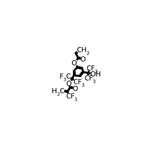 C=CC(=O)Oc1cc(C(O)(C(F)(F)F)C(F)(F)F)cc(C(OC(=O)C(=C)C(F)(F)F)(C(F)(F)F)C(F)(F)F)c1